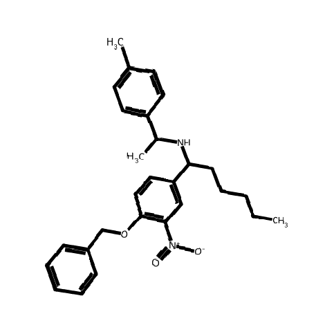 CCCCCC(NC(C)c1ccc(C)cc1)c1ccc(OCc2ccccc2)c([N+](=O)[O-])c1